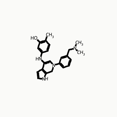 Cc1ccc(NC2=CN(c3cccc(CN(C)C)c3)Cc3[nH]ccc32)cc1O